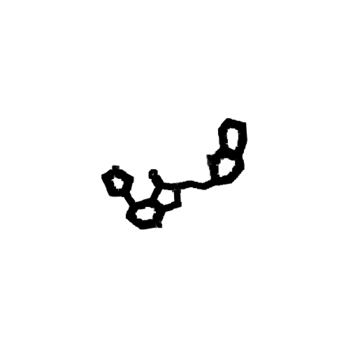 O=C1c2c(-c3ccsc3)ccnc2CN1CCc1ccc2ccccc2n1